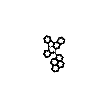 c1ccc2c(c1)B1c3ccccc3N(c3ccc4ccc5cccc6ccc3c4c56)c3cc4ccccc4c-2c31